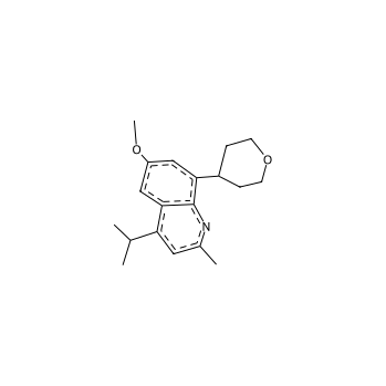 COc1cc(C2CCOCC2)c2nc(C)cc(C(C)C)c2c1